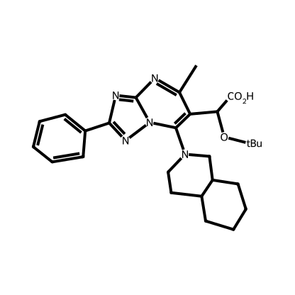 Cc1nc2nc(-c3ccccc3)nn2c(N2CCC3CCCCC3C2)c1C(OC(C)(C)C)C(=O)O